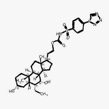 CC[C@H]1[C@@H](O)[C@@H]2[C@H](CC[C@]3(C)[C@@H](CCOC(=O)NS(=O)(=O)c4ccc(-n5cnnn5)cc4)CC[C@@H]23)[C@@]2(C)CC[C@@H](O)C[C@@H]12